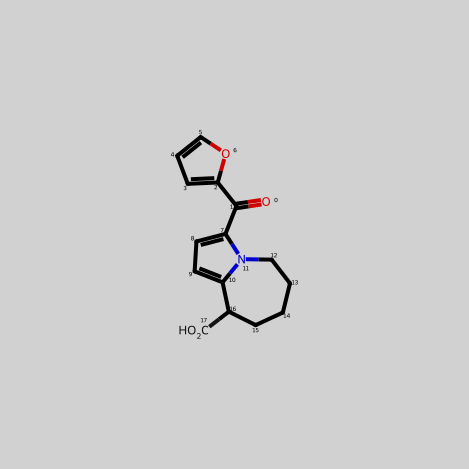 O=C(c1ccco1)c1ccc2n1CCCCC2C(=O)O